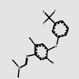 Cc1cc(Sc2cccc(C(F)(F)F)c2)c(C)cc1/N=C/N(C)C